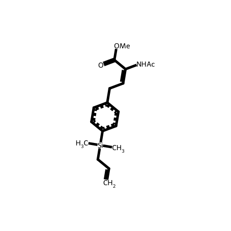 C=CC[Si](C)(C)c1ccc(CC=C(NC(C)=O)C(=O)OC)cc1